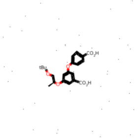 C[C@@H](COC(C)(C)C)Oc1cc(Oc2ccc(C(=O)O)cc2)cc(C(=O)O)c1